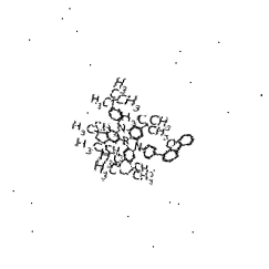 CC(C)(C)c1ccc(N2c3cc4c(cc3B3c5cc6c(cc5N(c5ccc(-c7cccc8c7oc7ccccc78)cc5)c5cc(C(C)(C)C)cc2c53)C(C)(C)CCC6(C)C)C(C)(C)CC4(C)C)cc1